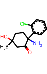 BC1(O)CCC(N)(c2ccccc2Cl)C(=O)C1